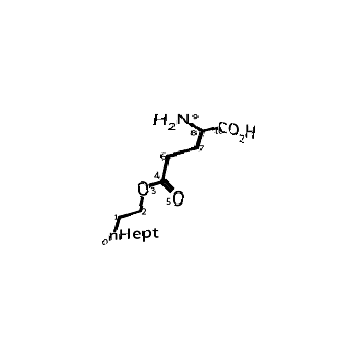 CCCCCCCCCOC(=O)CCC(N)C(=O)O